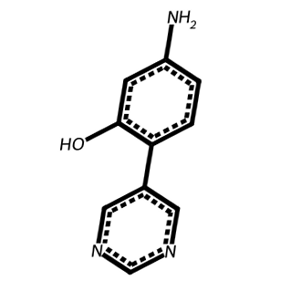 Nc1ccc(-c2cncnc2)c(O)c1